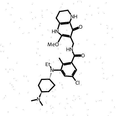 CCN(c1cc(Cl)cc(C(=O)NCc2c(OC)[nH]c3c(c2=O)NCCC3)c1C)[C@H]1CC[C@H](N(C)C)CC1